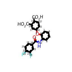 O=C(Nc1ccccc1Oc1ccc(C(=O)O)c(C(=O)O)c1)c1ccc(F)c(F)c1